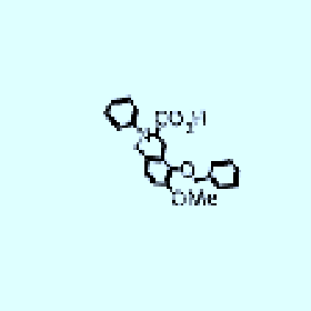 COc1ccc2c(c1OCc1ccccc1)CC(C(=O)O)N(c1ccccc1)C2